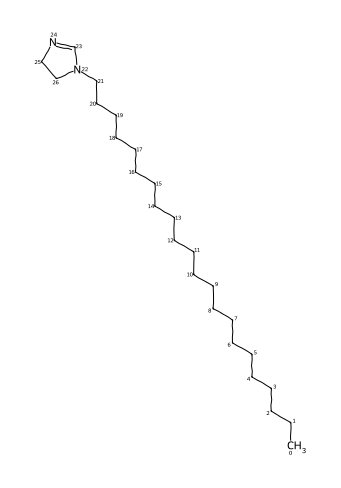 CCCCCCCCCCCCCCCCCCCCCCN1C=NCC1